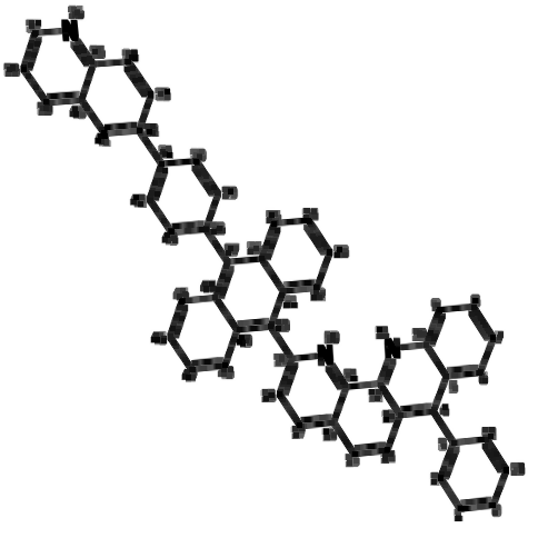 c1ccc(-c2c3ccccc3nc3c2ccc2ccc(-c4c5ccccc5c(-c5ccc(-c6ccc7ncccc7c6)cc5)c5ccccc45)nc23)cc1